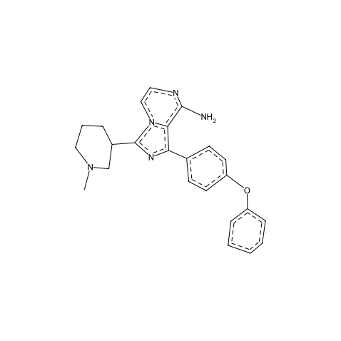 CN1CCCC(c2nc(-c3ccc(Oc4ccccc4)cc3)c3c(N)nccn23)C1